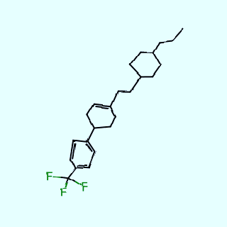 CCCC1CCC(CCC2=CCC(c3ccc(C(F)(F)F)cc3)CC2)CC1